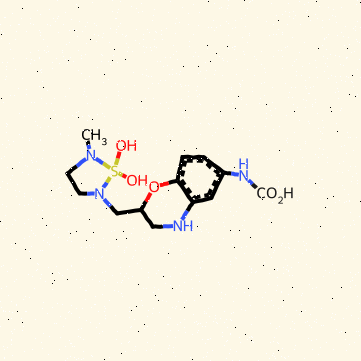 CN1CCN(CC2CNc3cc(NC(=O)O)ccc3O2)S1(O)O